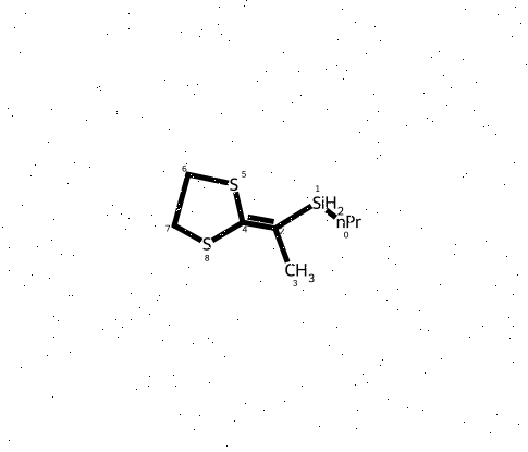 CCC[SiH2]C(C)=C1SCCS1